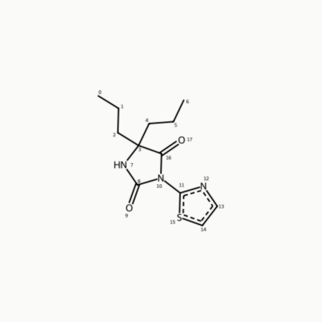 CCCC1(CCC)NC(=O)N(c2nccs2)C1=O